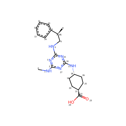 CNc1nc(NC[C@H](C)c2ccccc2)nc(N[C@H]2CC[C@H](C(=O)O)CC2)n1